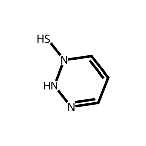 SN1C=CC=NN1